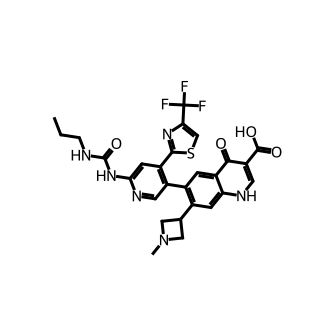 CCCNC(=O)Nc1cc(-c2nc(C(F)(F)F)cs2)c(-c2cc3c(=O)c(C(=O)O)c[nH]c3cc2C2CN(C)C2)cn1